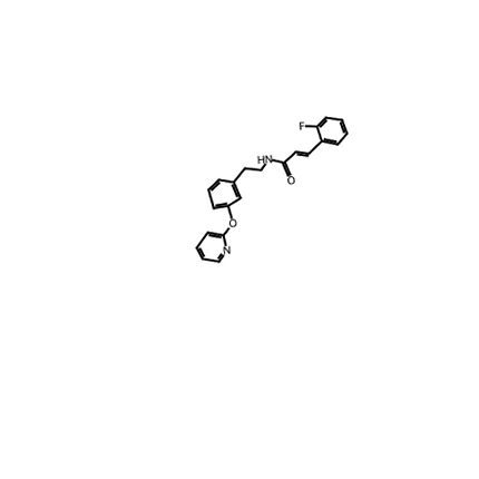 O=C(C=Cc1ccccc1F)NCCc1cccc(Oc2ccccn2)c1